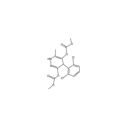 COC(=O)OC1=NNC(C)=C(OC(=O)OC)C1c1c(Cl)cccc1Cl